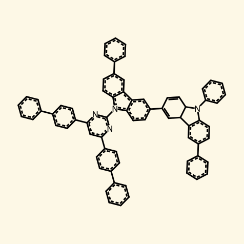 C1=CC2C(C=C1c1ccc3c(c1)c1cc(-c4ccccc4)ccc1n3-c1nc(-c3ccc(-c4ccccc4)cc3)cc(-c3ccc(-c4ccccc4)cc3)n1)c1cc(-c3ccccc3)ccc1N2c1ccccc1